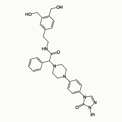 CC(C)n1ncn(-c2ccc(N3CCN(C(C(=O)NCCc4ccc(CO)c(CO)c4)c4ccccc4)CC3)cc2)c1=O